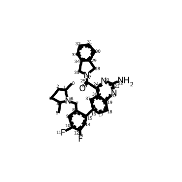 CC1CCC(C)N1Cc1cc(F)c(F)cc1-c1ccc2nc(N)nc(C(=O)N3Cc4ccccc4C3)c2c1